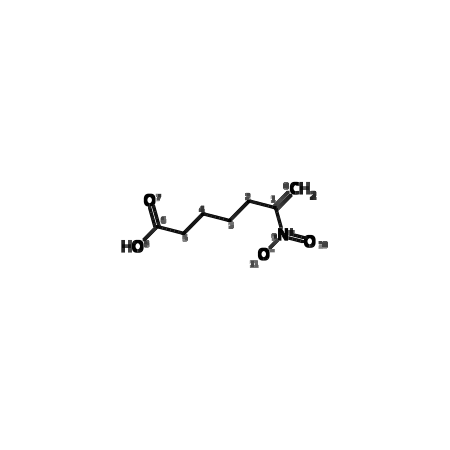 C=C(CCCCC(=O)O)[N+](=O)[O-]